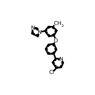 Cc1cc(Oc2cccc(-c3cc(Cl)ccn3)c2)cc(-n2ccnc2)c1